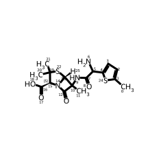 Cc1ccc(C(N)C(=O)NC2(C)C(=O)N3[C@@H](C(=O)O)C(C)(C)S[C@@H]32)s1